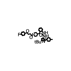 Cc1ccc(-n2nc(C(C)(C)C)cc2NC(=O)Nc2ccccc2CC2CCN(C(=O)CCC(=O)c3ccc(F)cc3)CC2)cc1